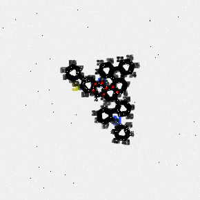 c1ccc(-c2ccccc2-c2c(-c3ccccc3)cccc2N(c2ccc(-c3cccc4c3c3ccccc3n4-c3ccccc3)cc2)c2ccc3sc4ccccc4c3c2)cc1